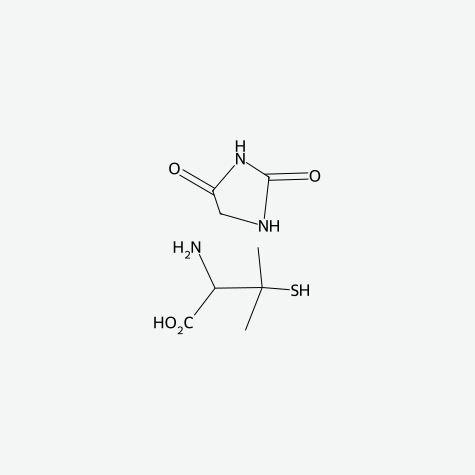 CC(C)(S)C(N)C(=O)O.O=C1CNC(=O)N1